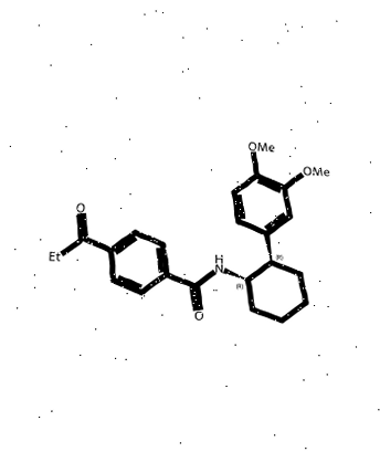 CCC(=O)c1ccc(C(=O)N[C@@H]2CCCC[C@@H]2c2ccc(OC)c(OC)c2)cc1